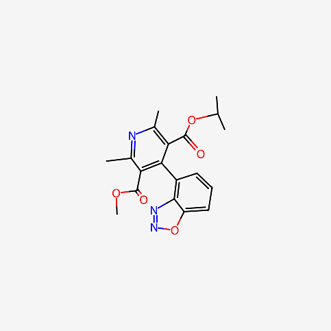 COC(=O)c1c(C)nc(C)c(C(=O)OC(C)C)c1-c1cccc2onnc12